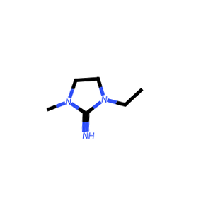 CCN1CCN(C)C1=N